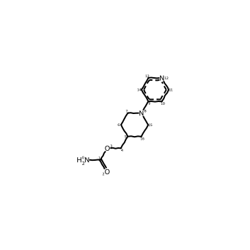 NC(=O)OCC1CCN(c2ccncc2)CC1